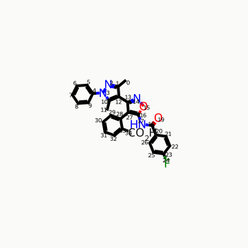 Cc1nn(-c2ccccc2)c(C)c1-c1noc(NC(=O)c2ccc(F)cc2)c1-c1ccccc1C(=O)O